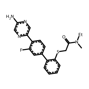 CCN(C)C(=O)CSc1ccccc1-c1ccc(-c2cnc(N)cn2)c(F)c1